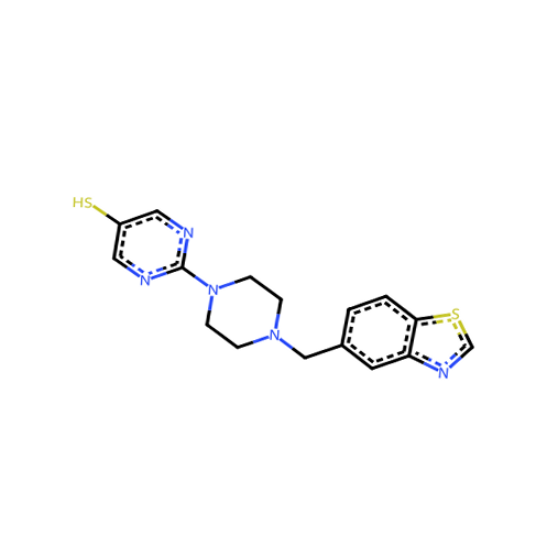 Sc1cnc(N2CCN(Cc3ccc4scnc4c3)CC2)nc1